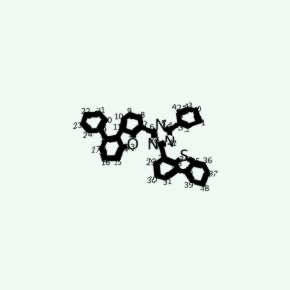 c1ccc(-c2nc(-c3cccc4c3oc3cccc(-c5ccccc5)c34)nc(-c3cccc4c3sc3ccccc34)n2)cc1